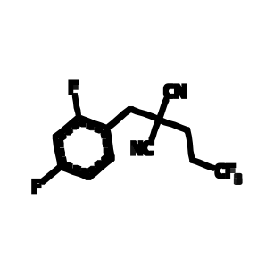 N#CC(C#N)(CCC(F)(F)F)Cc1ccc(F)cc1F